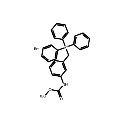 CC(C)(C)OC(=O)Nc1cccc(C[P+](c2ccccc2)(c2ccccc2)c2ccccc2)c1.[Br-]